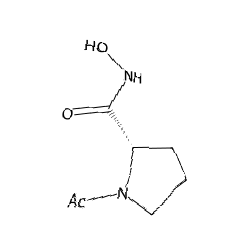 CC(=O)N1CCC[C@H]1C(=O)NO